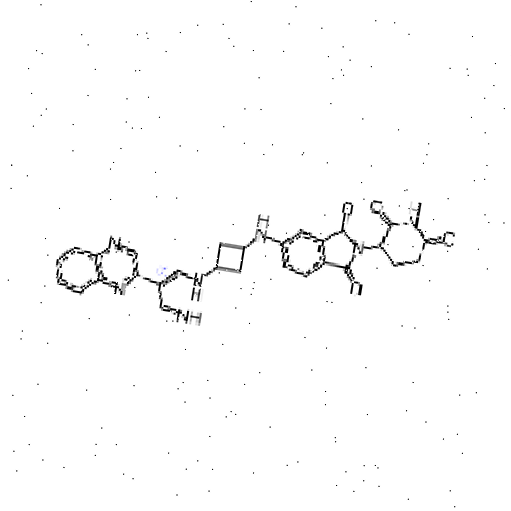 N=C/C(=C\NC1CC(Nc2ccc3c(c2)C(=O)N(C2CCC(=O)NC2=O)C3=O)C1)c1cnc2ccccc2n1